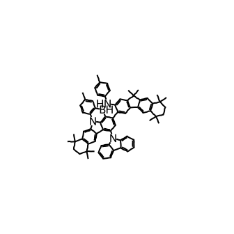 Cc1ccc(Nc2cc3c(cc2-c2cc(-n4c5ccccc5c5ccccc54)c4c5cc6c(cc5n5c4c2Bc2cc(C)ccc2-5)C(C)(C)CCC6(C)C)-c2cc4c(cc2C3(C)C)C(C)(C)CCC4(C)C)cc1